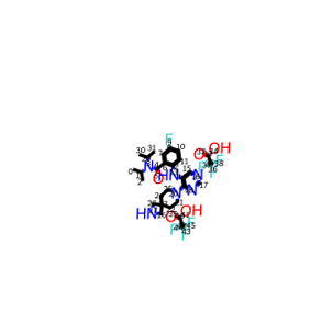 CC(C)N(C(=O)c1cc(F)ccc1Nc1cncnc1N1CCC2(CC1)CNC2)C(C)C.O=C(O)C(F)(F)F.O=C(O)C(F)(F)F